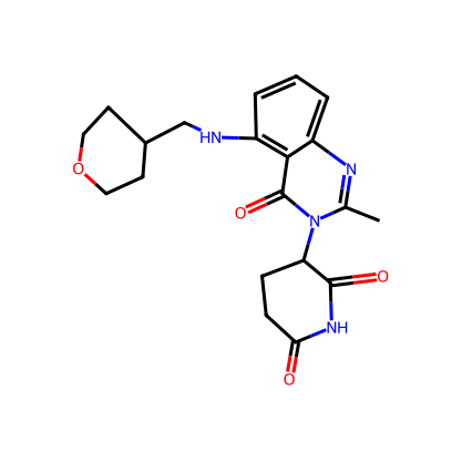 Cc1nc2cccc(NCC3CCOCC3)c2c(=O)n1C1CCC(=O)NC1=O